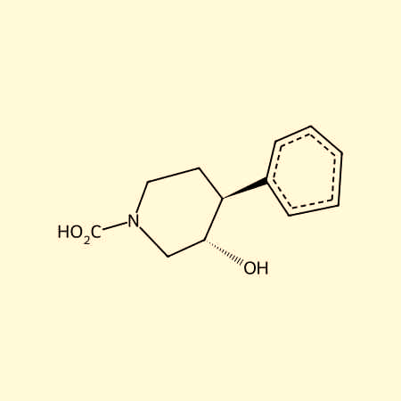 O=C(O)N1CC[C@@H](c2ccccc2)[C@H](O)C1